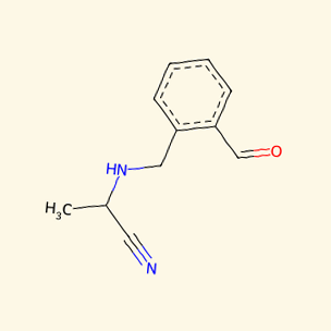 CC(C#N)NCc1ccccc1C=O